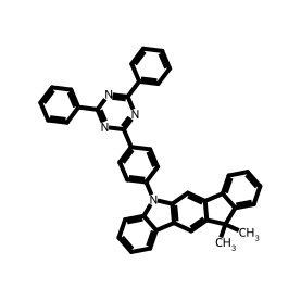 CC1(C)c2ccccc2-c2cc3c(cc21)c1ccccc1n3-c1ccc(-c2nc(-c3ccccc3)nc(-c3ccccc3)n2)cc1